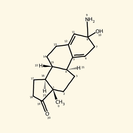 C[C@]12CC[C@@H]3C4=CCC(N)(O)C=C4CC[C@H]3[C@@H]1CCC2=O